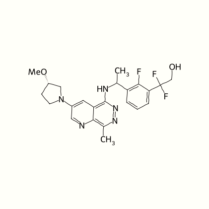 CO[C@H]1CCN(c2cnc3c(C)nnc(NC(C)c4cccc(C(F)(F)CO)c4F)c3c2)C1